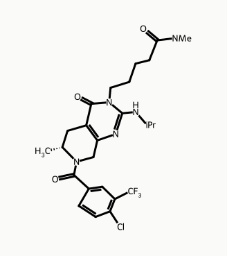 CNC(=O)CCCCn1c(NC(C)C)nc2c(c1=O)C[C@@H](C)N(C(=O)c1ccc(Cl)c(C(F)(F)F)c1)C2